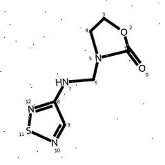 O=C1OCCN1CNc1cnsn1